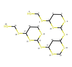 SCSC1CCSC(SC2CC(SC3SCCC(SCS)S3)SCS2)S1